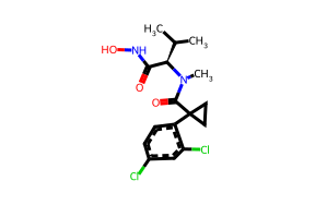 CC(C)[C@H](C(=O)NO)N(C)C(=O)C1(c2ccc(Cl)cc2Cl)CC1